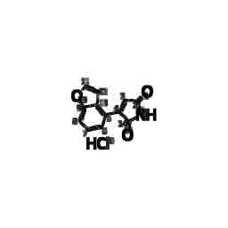 Cl.O=C1C=C(c2cccc3occc23)C(=O)N1